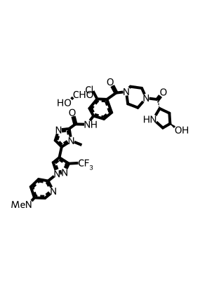 CNc1ccc(-n2cc(-c3cnc(C(=O)Nc4ccc(C(=O)N5CCN(C(=O)[C@@H]6C[C@@H](O)CN6)CC5)c(Cl)c4)n3C)c(C(F)(F)F)n2)nc1.O=CO